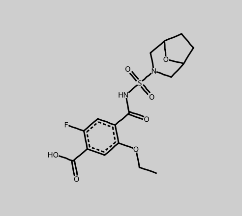 CCOc1cc(C(=O)O)c(F)cc1C(=O)NS(=O)(=O)N1CC2CCC(C1)O2